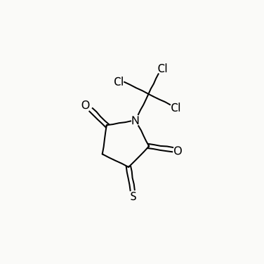 O=C1CC(=S)C(=O)N1C(Cl)(Cl)Cl